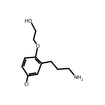 NCCCc1cc(Cl)ccc1OCCO